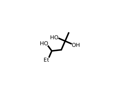 CCC(O)CC(C)(O)O